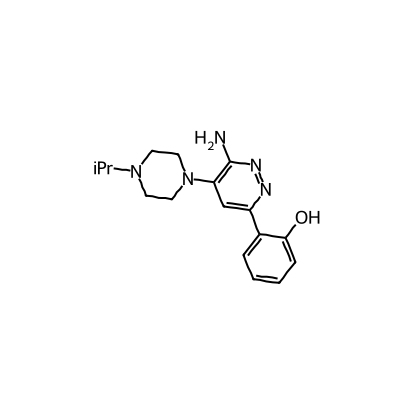 CC(C)N1CCN(c2cc(-c3ccccc3O)nnc2N)CC1